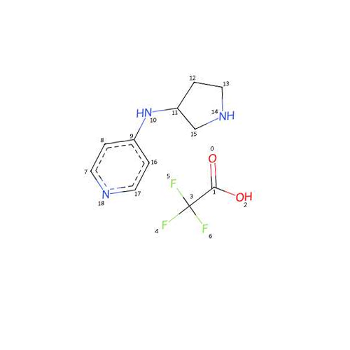 O=C(O)C(F)(F)F.c1cc(NC2CCNC2)ccn1